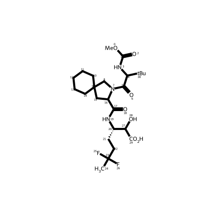 COC(=O)NC(C(=O)N1CC2(CCCCC2)CC1C(=O)N[C@@H](CCC(C)(F)F)C(O)C(=O)O)C(C)(C)C